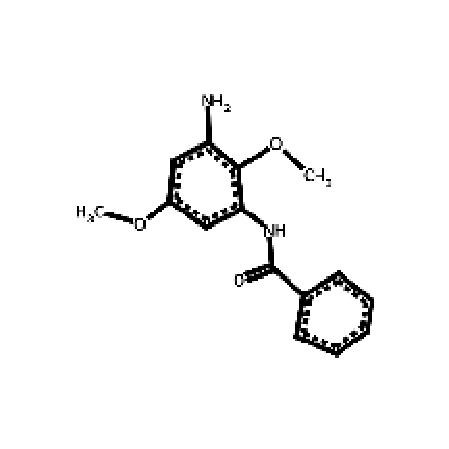 COc1cc(N)c(OC)c(NC(=O)c2ccccc2)c1